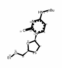 CCCCNc1ccn([C@H]2CS[C@@H](COCC)O2)c(=O)n1